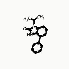 CC(C)n1c(=O)[nH]c2c(-c3ccccc3)cccc21